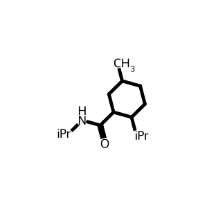 CC1CCC(C(C)C)C(C(=O)NC(C)C)C1